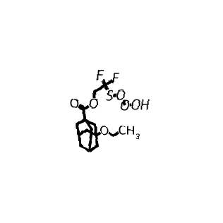 CCOC12CC3CC(C1)CC(C(=O)OCC(F)(F)SOOO)(C3)C2